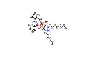 CCCCCCCCCC(OCC1Cc2ccccc2CN1C(=O)c1cccc(F)c1)C(=O)NCCCCCCCC